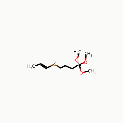 CC=CSCCC[Si](OC)(OC)OC